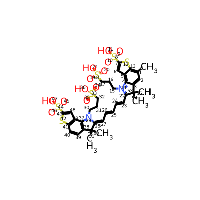 Cc1cc2c(c3cc(S(=O)(=O)O)sc13)[N+](CCCS(=O)(=O)O)=C(/C=C/C=C/C=C1\N(CCCS(=O)(=O)O)c3c(ccc4sc(S(=O)(=O)O)cc34)C1(C)C)C2(C)C